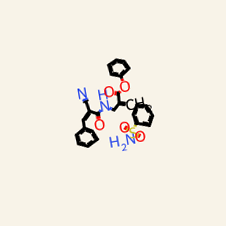 C=C(CNC(=O)C(C#N)=Cc1ccccc1)C(=O)Oc1ccccc1.NS(=O)(=O)c1ccccc1